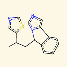 CC(CC1c2ccccc2-c2cncn21)c1cncs1